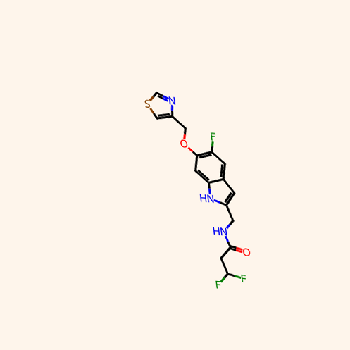 O=C(CC(F)F)NCc1cc2cc(F)c(OCc3cscn3)cc2[nH]1